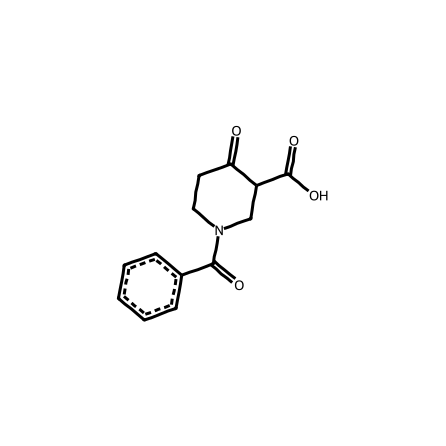 O=C(O)C1CN(C(=O)c2ccccc2)CCC1=O